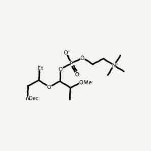 CCCCCCCCCCCC(CC)OC(OP(=O)([O-])OCC[N+](C)(C)C)C(C)OC